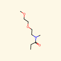 CCC(=O)N(C)CCOCCOC